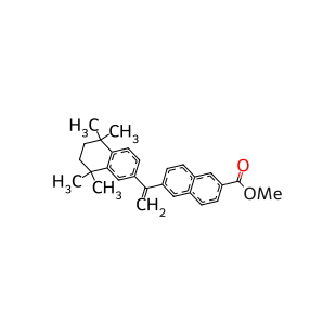 C=C(c1ccc2c(c1)C(C)(C)CCC2(C)C)c1ccc2cc(C(=O)OC)ccc2c1